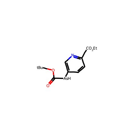 CCOC(=O)c1ccc([AsH]C(=O)OC(C)(C)C)cn1